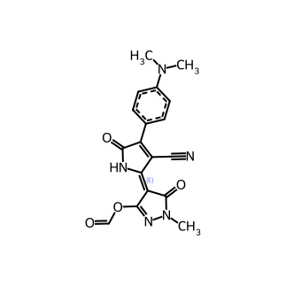 CN1N=C(OC=O)/C(=C2\NC(=O)C(c3ccc(N(C)C)cc3)=C2C#N)C1=O